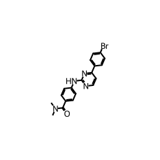 CN(C)C(=O)c1ccc(Nc2nccc(-c3ccc(Br)cc3)n2)cc1